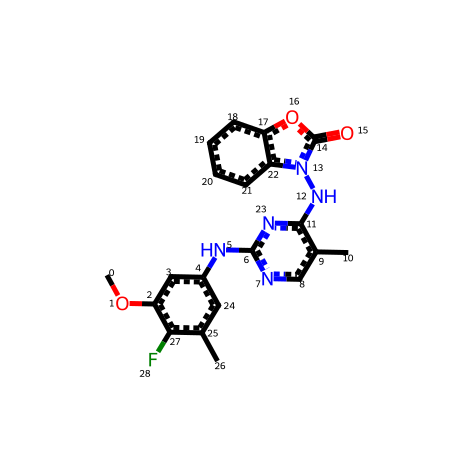 COc1cc(Nc2ncc(C)c(Nn3c(=O)oc4ccccc43)n2)cc(C)c1F